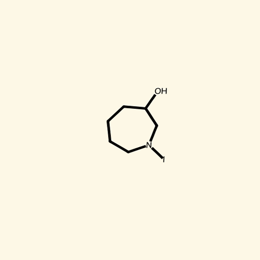 OC1CCCCN(I)C1